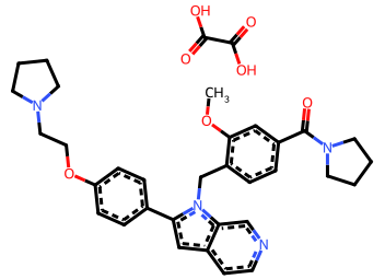 COc1cc(C(=O)N2CCCC2)ccc1Cn1c(-c2ccc(OCCN3CCCC3)cc2)cc2ccncc21.O=C(O)C(=O)O